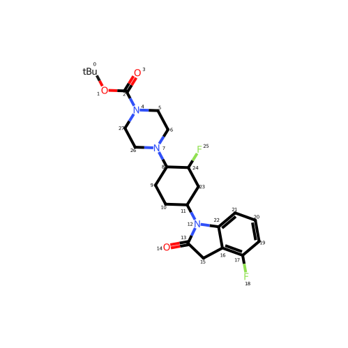 CC(C)(C)OC(=O)N1CCN(C2CCC(N3C(=O)Cc4c(F)cccc43)CC2F)CC1